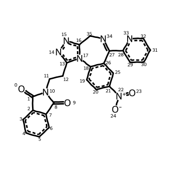 O=C1c2ccccc2C(=O)N1CCc1nnc2n1-c1ccc([N+](=O)[O-])cc1C(c1ccccn1)=NC2